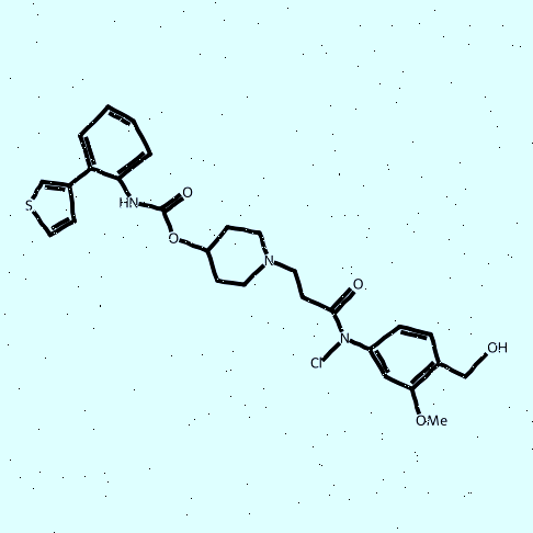 COc1cc(N(Cl)C(=O)CCN2CCC(OC(=O)Nc3ccccc3-c3ccsc3)CC2)ccc1CO